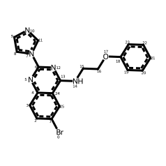 Brc1ccc2nc(-n3ccnc3)nc(NCCOc3ccccc3)c2c1